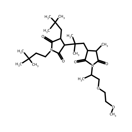 COCCOCC(C)N1C(=O)C(C)C(CC(C)(C)C2C(=O)N(CCC(C)(C)C)C(=O)C2CC(C)(C)C)C1=O